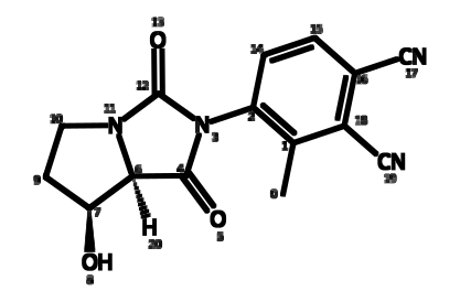 Cc1c(N2C(=O)[C@H]3[C@@H](O)CCN3C2=O)ccc(C#N)c1C#N